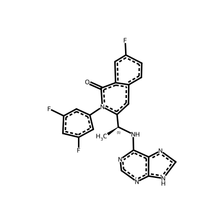 C[C@H](Nc1ncnc2[nH]cnc12)c1cc2ccc(F)cc2c(=O)n1-c1cc(F)cc(F)c1